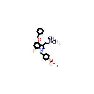 COc1ccc(Cn2cc(CCN(C)C)c3c(OCc4ccccc4)ccc(F)c32)cc1